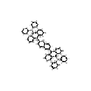 c1ccc(N(c2ccccc2)c2c3ccccc3c(-c3ccc4cc(-c5c6ccccc6c(N(c6ccccc6)c6ccccc6)c6ccccc56)ccc4c3)c3ccccc23)cc1